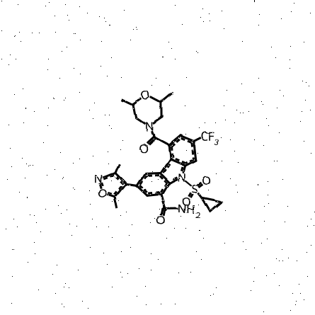 Cc1noc(C)c1-c1cc(C(N)=O)c2c(c1)c1c(C(=O)N3CC(C)OC(C)C3)cc(C(F)(F)F)cc1n2S(=O)(=O)C1CC1